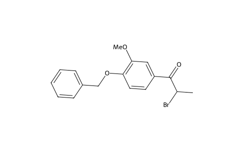 COc1cc(C(=O)C(C)Br)ccc1OCc1ccccc1